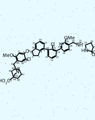 COc1cc(O[C@H]2CCc3c(-c4cccc(-c5ccc(CNC[C@@H]6CCC(=O)N6)c(OC)n5)c4Cl)cccc32)c(Cl)cc1CN1CC2(C(=O)O)CCC1CC2